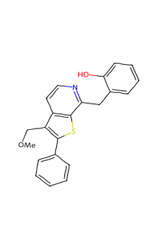 COCc1c(-c2ccccc2)sc2c(Cc3ccccc3O)nccc12